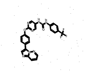 O=C(Nc1ccc(C(F)(F)F)cc1)Nc1cnc(Oc2ccc(-c3cnc4cccnn34)cc2)nc1